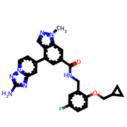 Cn1ncc2c(-c3ccn4nc(N)nc4c3)cc(C(=O)NCc3cc(F)ccc3OCC3CC3)cc21